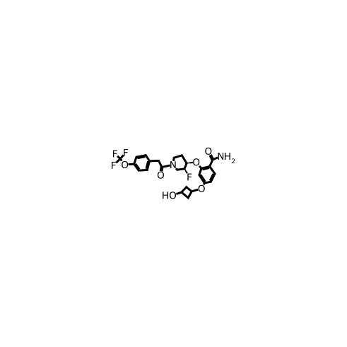 NC(=O)c1ccc(OC2CC(O)C2)cc1O[C@@H]1CCN(C(=O)Cc2ccc(OC(F)(F)F)cc2)C[C@@H]1F